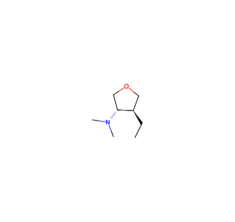 CC[C@@H]1COC[C@H]1N(C)C